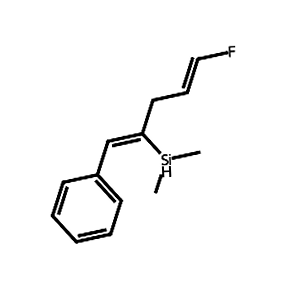 C[SiH](C)C(=Cc1ccccc1)CC=CF